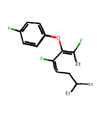 CC/C(F)=C(Oc1ccc(F)cc1)\C(F)=C/CC(CC)CC